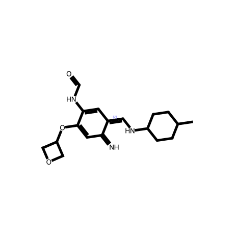 CC1CCC(N/C=C2/C=C(NC=O)C(OC3COC3)=CC2=N)CC1